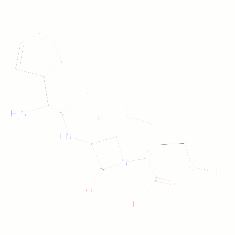 COCC1=C(C(=O)O)N2C(=O)C(NC(=O)C(N)c3ccccc3)[C@H]2SC1